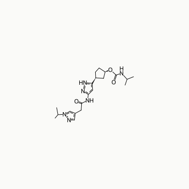 CC(C)NC(=O)O[C@@H]1CC[C@H](c2cc(NC(=O)Cc3cnn(C(C)C)c3)n[nH]2)C1